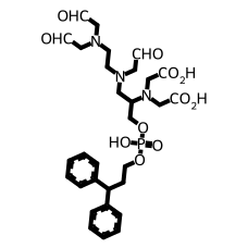 O=CCN(CC=O)CCN(CC=O)CC(COP(=O)(O)OCCC(c1ccccc1)c1ccccc1)N(CC(=O)O)CC(=O)O